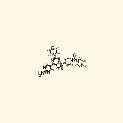 CN1CCN(C(=O)N2CCC(n3ncc4c(-c5cnc(N)nc5)nc(N5CCOCC5)nc43)CC2)CC1